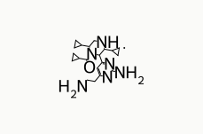 NCCc1cc(C2C(C3[CH]C3)NCC(C3CC3)N2C(=O)C2CC2)nc(N)n1